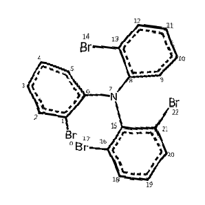 Brc1ccccc1N(c1ccccc1Br)c1c(Br)cccc1Br